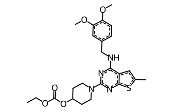 CCOC(=O)OC1CCN(c2nc(NCc3ccc(OC)c(OC)c3)c3cc(C)sc3n2)CC1